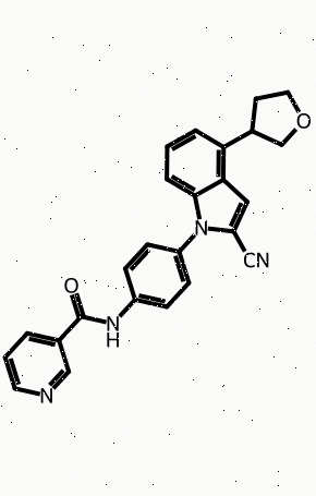 N#Cc1cc2c(C3CCOC3)cccc2n1-c1ccc(NC(=O)c2cccnc2)cc1